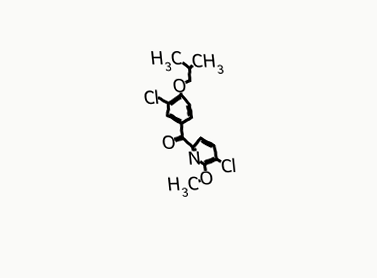 COc1nc(C(=O)c2ccc(OCC(C)C)c(Cl)c2)ccc1Cl